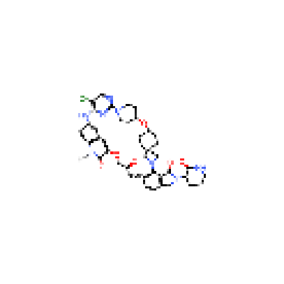 CNC(=O)COc1cc2cc(Nc3nc(N4CCC(OC5CCC6(CC5)CN(c5cccc7c5C(=O)N(C5CCCNC5=O)C7)C6)CC4)ncc3Cl)ccc2n(C(C)C)c1=O